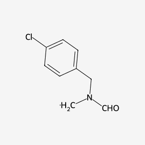 [CH2]N(C=O)Cc1ccc(Cl)cc1